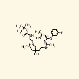 CCCC(O)(CCN/C(C)=N/C(=C\C(C)=N)Oc1cccc(F)c1)CNCCNC(=O)OC(C)(C)C